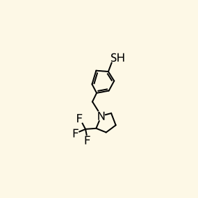 FC(F)(F)C1CCCN1Cc1ccc(S)cc1